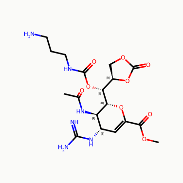 COC(=O)C1=C[C@H](NC(=N)N)[C@@H](NC(C)=O)[C@H]([C@H](OC(=O)NCCCN)[C@H]2COC(=O)O2)O1